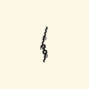 CCCCCCCOCCCc1ccc(-c2ccc(OCCCC)cc2)nc1